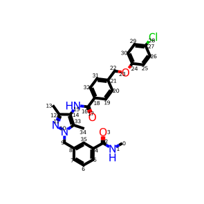 CNC(=O)c1cccc(Cn2nc(C)c(NC(=O)c3ccc(COc4ccc(Cl)cc4)cc3)c2C)c1